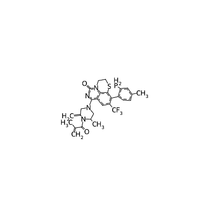 C=C(C)C(=O)N1C(=C)CN(c2nc(=O)n3c4c(c(-c5ccc(C)cc5P)c(C(F)(F)F)cc24)SCC3)CC1C